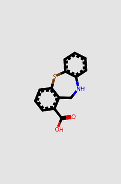 O=C(O)c1cccc2c1CNc1ccccc1S2